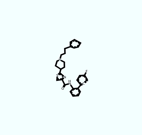 O=C(Nc1ccccc1-c1ccc(F)cc1)c1csc(C2CCN(CCCc3ccccc3)CC2)n1